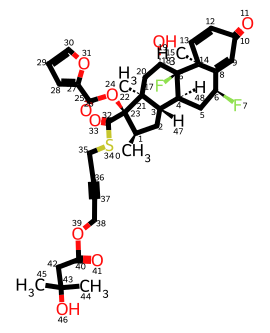 C[C@@H]1C[C@H]2[C@@H]3C[C@H](F)C4=CC(=O)C=C[C@]4(C)[C@@]3(F)[C@@H](O)C[C@]2(C)[C@@]1(OC(=O)c1ccco1)C(=O)SCC#CCOC(=O)CC(C)(C)O